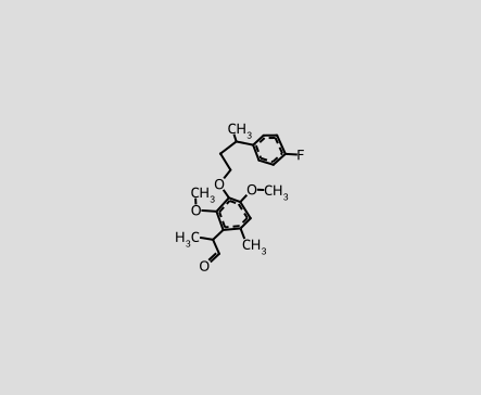 COc1cc(C)c(C(C)C=O)c(OC)c1OCCC(C)c1ccc(F)cc1